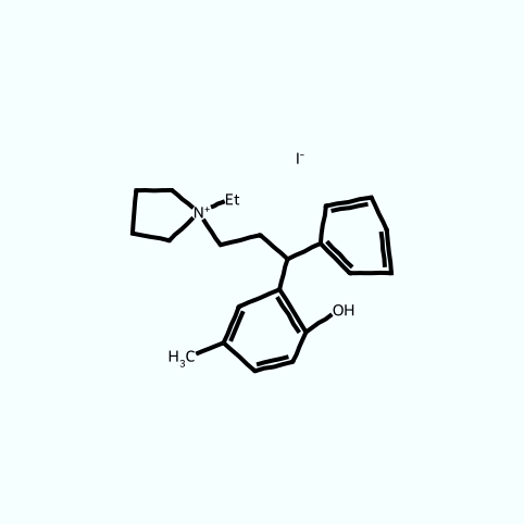 CC[N+]1(CCC(c2ccccc2)c2cc(C)ccc2O)CCCC1.[I-]